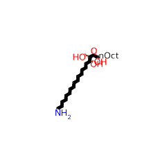 CCCCCCCCC(O)C(=O)[C@@H](CO)[C@H](O)CCCCCCCCCCCCCCCN